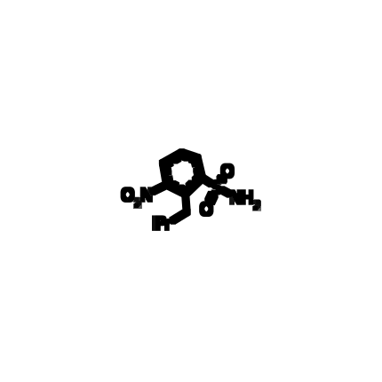 CC(C)Cc1c([N+](=O)[O-])cccc1S(N)(=O)=O